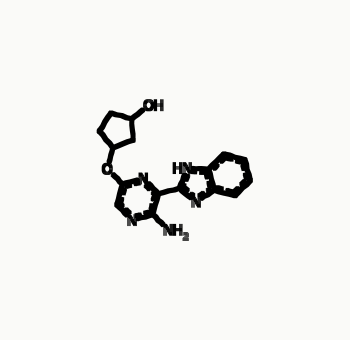 Nc1ncc(OC2CCC(O)C2)nc1-c1nc2ccccc2[nH]1